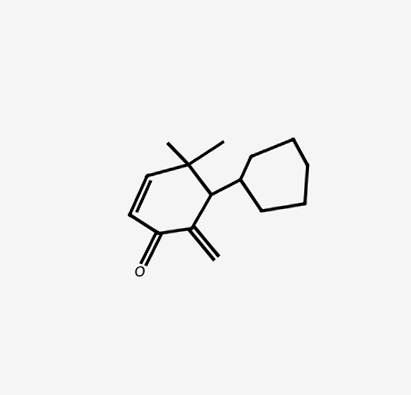 C=C1C(=O)C=CC(C)(C)C1C1CCCCC1